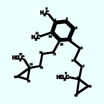 Cc1ccc(CCCC2(C(=O)O)CC2)c(CCCC2(C(=O)O)CC2)c1C